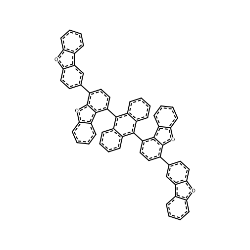 c1ccc2c(c1)oc1ccc(-c3ccc(-c4c5ccccc5c(-c5ccc(-c6ccc7oc8ccccc8c7c6)c6oc7ccccc7c56)c5ccccc45)c4c3oc3ccccc34)cc12